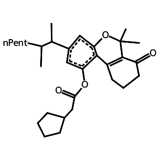 CCCCCC(C)C(C)c1cc(OC(=O)CC2CCCC2)c2c(c1)OC(C)(C)C1=C2CCCC1=O